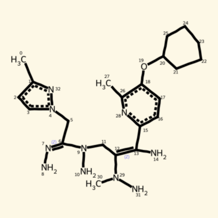 Cc1ccn(C/C(=N/N)N(N)C/C(=C(/N)c2ccc(OC3CCCCC3)c(C)n2)N(C)N)n1